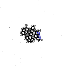 Cc1ccc2cc(-c3c4cc5ccccc5cc4c(-c4cc5cccc6ccc7c(C)ccc4c7c65)c4c5cccc6ccc7cccc(c34)c7c65)c3ccc(C)nc3c2n1